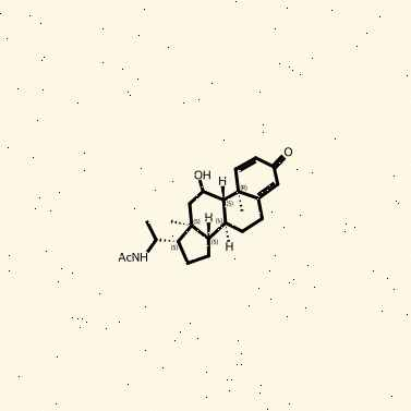 CC(=O)NC(C)[C@H]1CC[C@H]2[C@@H]3CCC4=CC(=O)C=C[C@]4(C)[C@H]3C(O)C[C@]12C